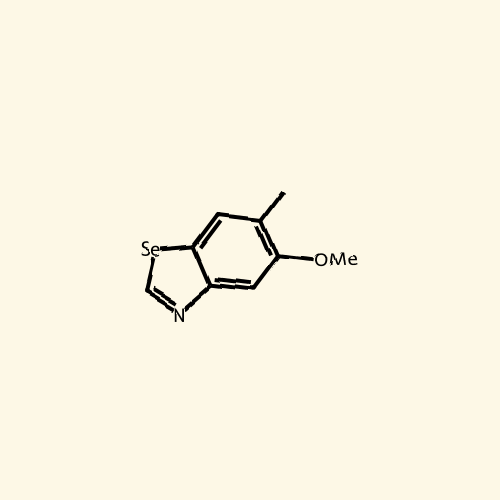 COc1cc2nc[se]c2cc1C